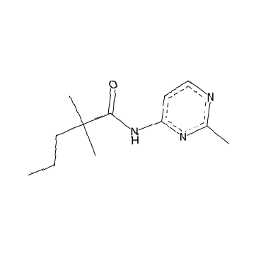 CCCC(C)(C)C(=O)Nc1ccnc(C)n1